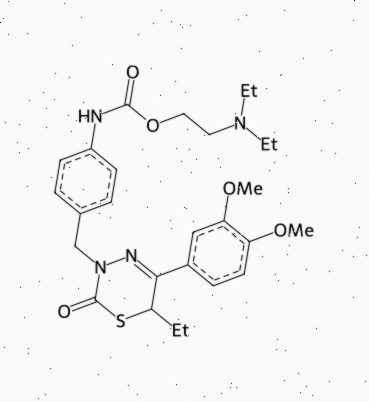 CCC1SC(=O)N(Cc2ccc(NC(=O)OCCN(CC)CC)cc2)N=C1c1ccc(OC)c(OC)c1